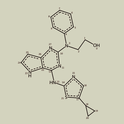 OCCN(c1ccccc1)c1nc(Nc2ncc(C3CC3)s2)c2[nH]ccc2n1